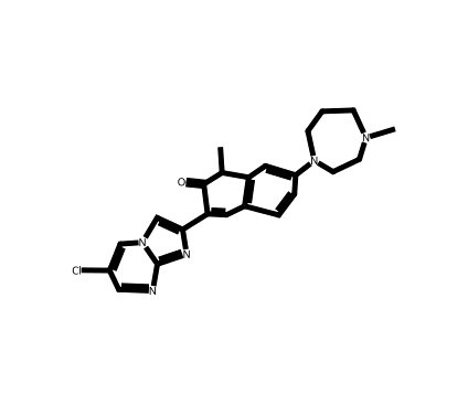 CC1C(=O)C(c2cn3cc(Cl)cnc3n2)=Cc2ccc(N3CCCN(C)CC3)cc21